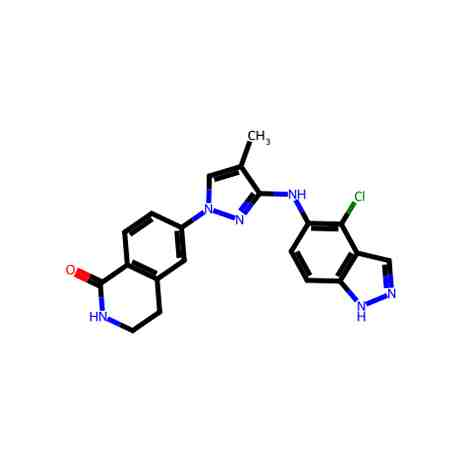 Cc1cn(-c2ccc3c(c2)CCNC3=O)nc1Nc1ccc2[nH]ncc2c1Cl